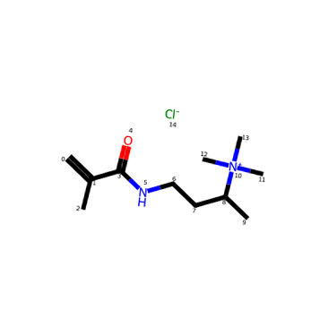 C=C(C)C(=O)NCCC(C)[N+](C)(C)C.[Cl-]